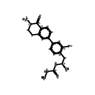 CN1CCc2cc(-c3ccc(C[C@@H](C#N)OC(=O)NC(C)(C)C)c(F)c3)ccc2C1=O